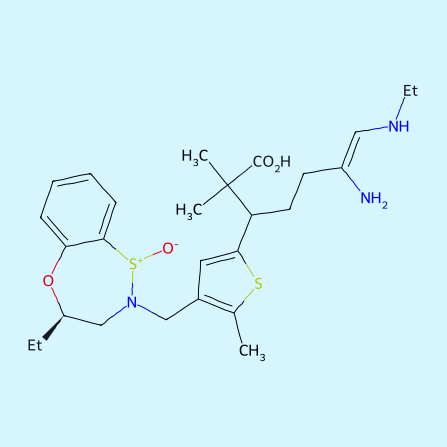 CCN/C=C(\N)CCC(c1cc(CN2C[C@@H](CC)Oc3ccccc3[S+]2[O-])c(C)s1)C(C)(C)C(=O)O